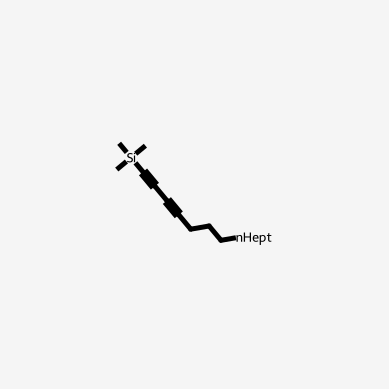 CCCCCCCCCCC#CC#C[Si](C)(C)C